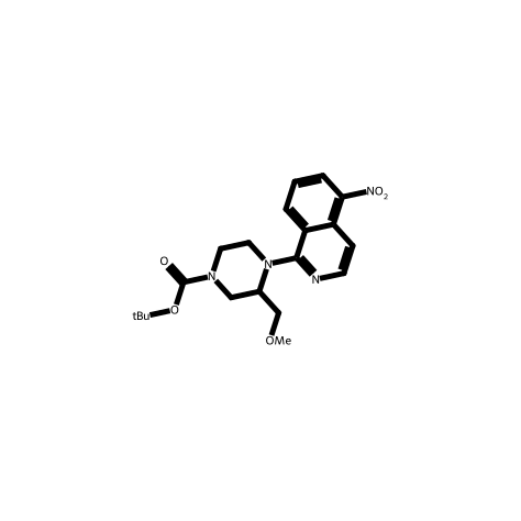 COCC1CN(C(=O)OC(C)(C)C)CCN1c1nccc2c([N+](=O)[O-])cccc12